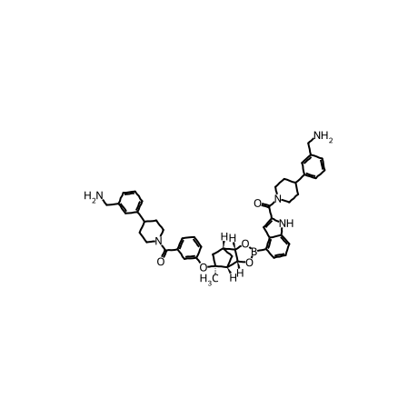 C[C@]1(Oc2cccc(C(=O)N3CCC(c4cccc(CN)c4)CC3)c2)C[C@H]2C[C@@H]1[C@H]1OB(c3cccc4[nH]c(C(=O)N5CCC(c6cccc(CN)c6)CC5)cc34)O[C@@H]21